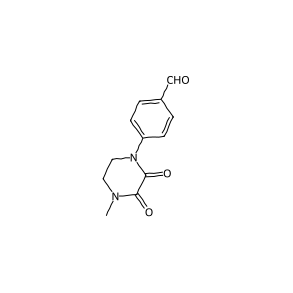 CN1CCN(c2ccc(C=O)cc2)C(=O)C1=O